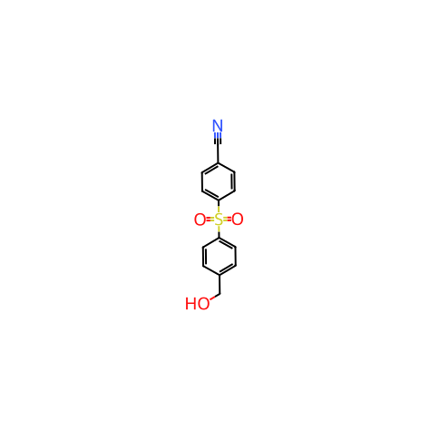 N#Cc1ccc(S(=O)(=O)c2ccc(CO)cc2)cc1